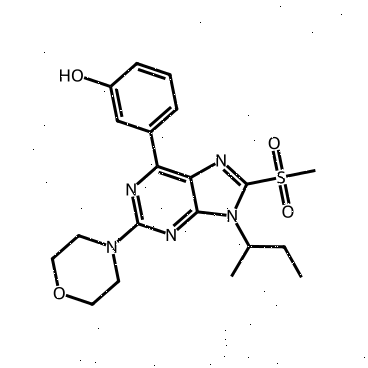 CCC(C)n1c(S(C)(=O)=O)nc2c(-c3cccc(O)c3)nc(N3CCOCC3)nc21